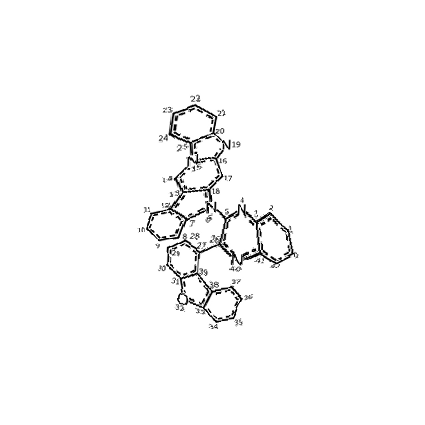 c1ccc2nc(-n3c4ccccc4c4cn5c(cc43)nc3ccccc35)c(-c3cccc4oc5ccccc5c34)nc2c1